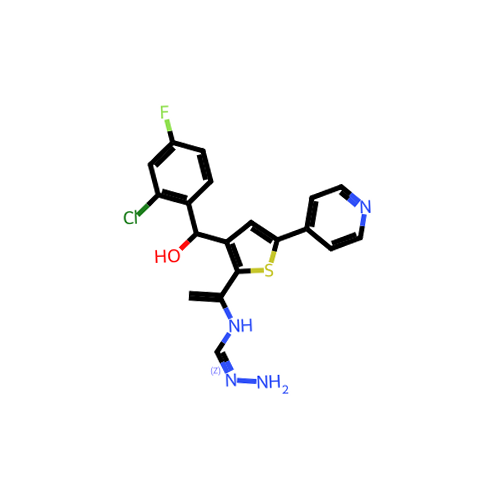 C=C(N/C=N\N)c1sc(-c2ccncc2)cc1C(O)c1ccc(F)cc1Cl